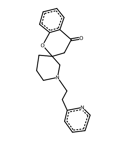 O=C1CC2(CCCN(CCc3ccccn3)C2)Oc2ccccc21